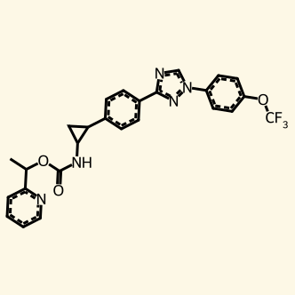 CC(OC(=O)NC1CC1c1ccc(-c2ncn(-c3ccc(OC(F)(F)F)cc3)n2)cc1)c1ccccn1